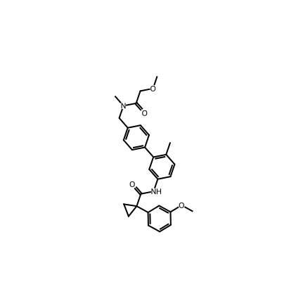 COCC(=O)N(C)Cc1ccc(-c2cc(NC(=O)C3(c4cccc(OC)c4)CC3)ccc2C)cc1